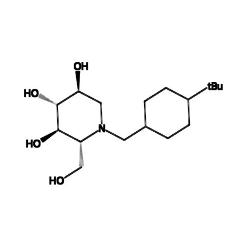 CC(C)(C)C1CCC(CN2C[C@H](O)[C@@H](O)[C@H](O)[C@H]2CO)CC1